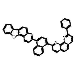 c1ccc(-c2ccc3ccc4ccc(-c5ccc(-c6ccc7c(ccc8c9ccccc9oc78)n6)c6ccccc56)nc4c3n2)cc1